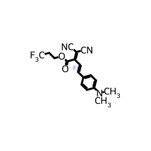 CN(C)c1ccc(/C=C/C(C(=O)OCCC(F)(F)F)=C(C#N)C#N)cc1